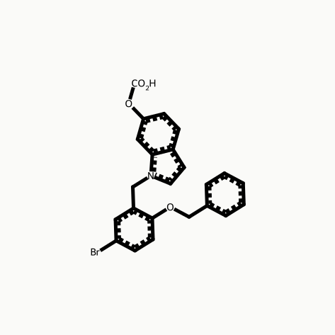 O=C(O)Oc1ccc2ccn(Cc3cc(Br)ccc3OCc3ccccc3)c2c1